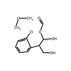 COC.O=COC(O)C(CO)c1ccccc1Cl